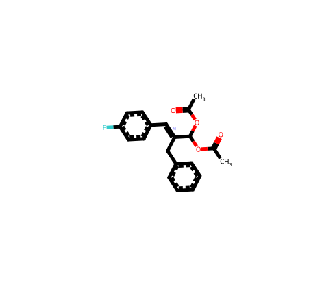 CC(=O)OC(OC(C)=O)/C(=C/c1ccc(F)cc1)Cc1ccccc1